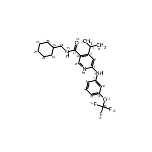 CC(C)c1cc(Nc2cccc(OC(F)(F)F)c2)ncc1C(=O)NCC1CCCCC1